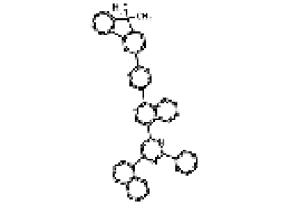 CC1(C)c2ccccc2-c2cc(-c3ccc(-c4ccc(-c5cc(-c6cccc7ccccc67)nc(-c6ccccc6)n5)c5ccccc45)cc3)ccc21